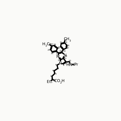 CCC(CCCCCn1cc(CNC(C)C)c2nc(-c3ccc(C)cc3)c(-c3ccc(C)cc3)nc21)C(=O)O